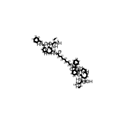 CC[C@H](NC)C(=O)N[C@@H]1C(=O)N2[C@@H](CC[C@@H]1CNC(=O)CCCCCCCNC(=O)C(NC(=O)[C@@H]1CC[C@@H]3CC[C@H](CO)[C@H](NC(=O)[C@H](CC)NC)C(=O)N31)(c1ccccc1)c1ccccc1)CC[C@H]2C(=O)NCc1ccccc1